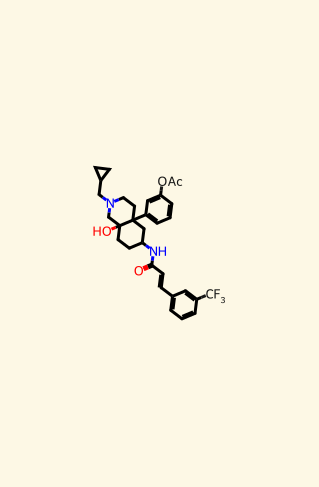 CC(=O)Oc1cccc(C23CCN(CC4CC4)CC2(O)CCC(NC(=O)/C=C/c2cccc(C(F)(F)F)c2)C3)c1